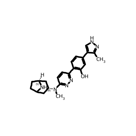 Cc1n[nH]cc1-c1ccc(-c2ccc(N(C)[C@@H]3CC4CC[C@@H](C3)N4)nn2)c(O)c1